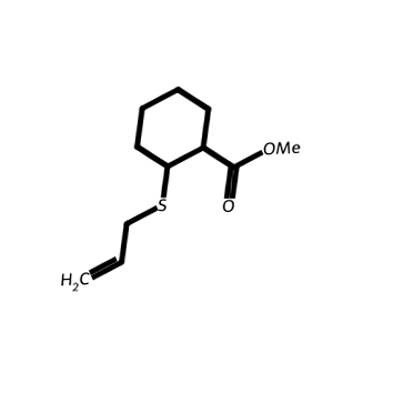 C=CCSC1CCCCC1C(=O)OC